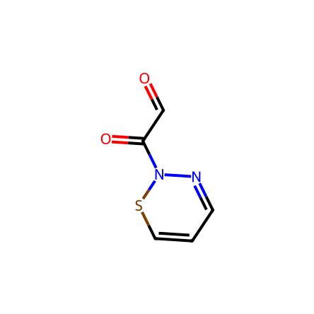 O=CC(=O)N1N=CC=CS1